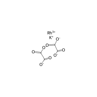 O=C([O-])C(=O)[O-].O=C([O-])C(=O)[O-].[K+].[Rh+3]